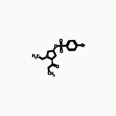 CCC(=O)[C@@H]1C[C@H](OS(=O)(=O)c2ccc(Br)cc2)CN1CC